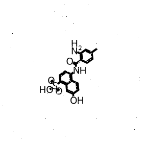 Cc1ccc(C(=O)Nc2ccc(S(=O)(=O)O)c3cc(O)ccc23)c(N)c1